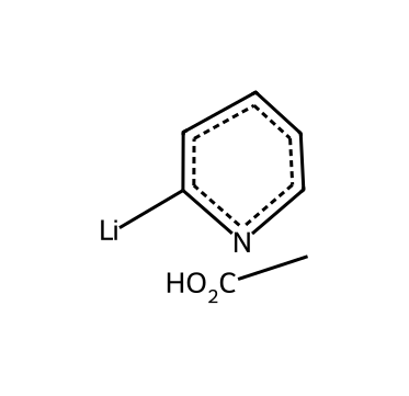 CC(=O)O.[Li][c]1ccccn1